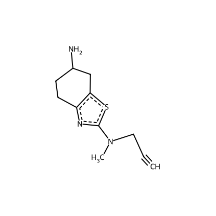 C#CCN(C)c1nc2c(s1)CC(N)CC2